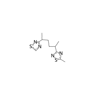 Cc1nc(C(C)CCC(C)c2ncsn2)ns1